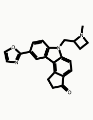 CN1CCC1Cn1c2ccc(-c3ncco3)cc2c2c3c(ccc21)C(=O)CC3